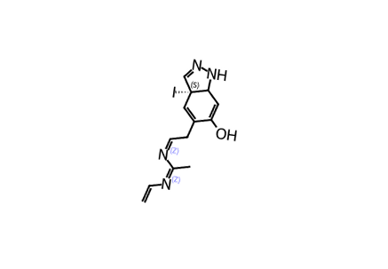 C=C/N=C(C)\N=C/CC1=C[C@@]2(I)C=NNC2C=C1O